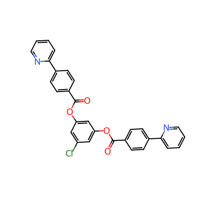 O=C(Oc1cc(Cl)cc(OC(=O)c2ccc(-c3ccccn3)cc2)c1)c1ccc(-c2ccccn2)cc1